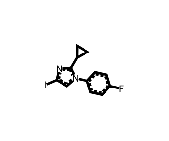 Fc1ccc(-n2cc(I)nc2C2CC2)cc1